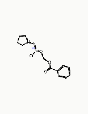 O=C(OCO/[N+]([O-])=N/N1CCCC1)c1[c]cccc1